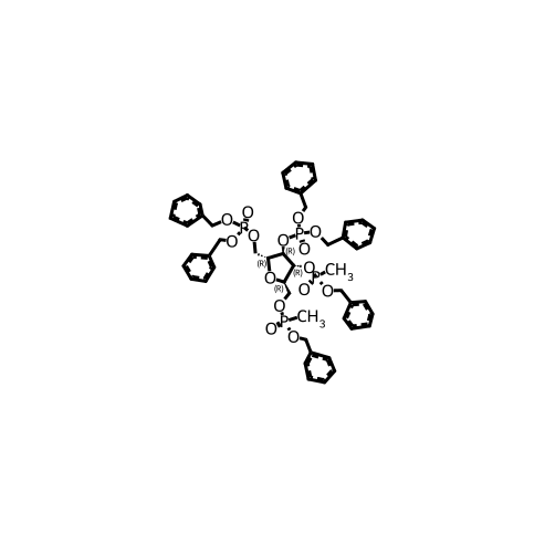 CP(=O)(OCc1ccccc1)OC[C@H]1O[C@H](COP(=O)(OCc2ccccc2)OCc2ccccc2)[C@@H](OP(=O)(OCc2ccccc2)OCc2ccccc2)[C@@H]1OP(C)(=O)OCc1ccccc1